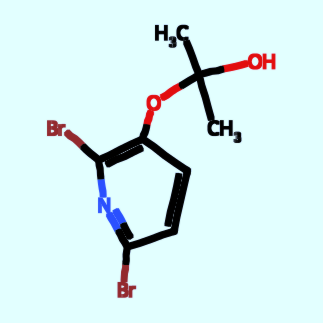 CC(C)(O)Oc1ccc(Br)nc1Br